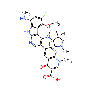 CNc1cc(F)c(OC)c2c1[nH]c1ncc(-c3cnc4c(c3)c(=O)c(C(=O)O)cn4C)c(N3CC[C@H]4CN(C)C[C@H]43)c12